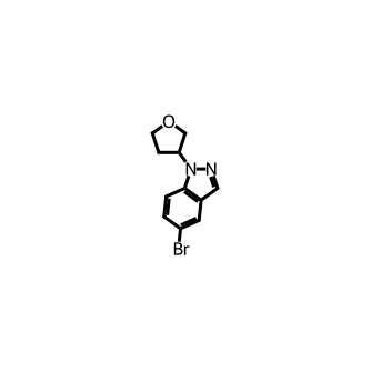 Brc1ccc2c(cnn2C2CCOC2)c1